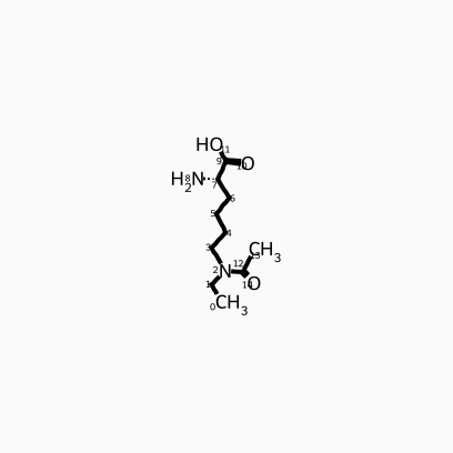 CCN(CCCC[C@H](N)C(=O)O)C(C)=O